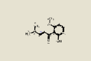 COc1ccnc(O)c1C(=O)/C=C/N(C)C